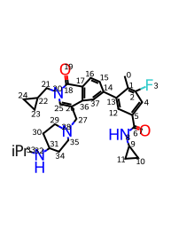 Cc1c(F)cc(C(=O)NC2CC2)cc1-c1ccc2c(=O)n(CC3CC3)cc(CN3CCC(NC(C)C)CC3)c2c1